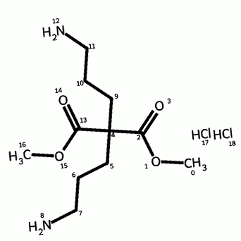 COC(=O)C(CCCN)(CCCN)C(=O)OC.Cl.Cl